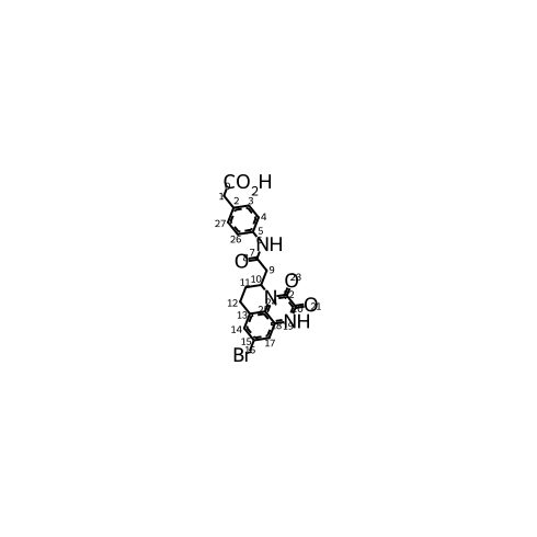 O=C(O)Cc1ccc(NC(=O)CC2CCc3cc(Br)cc4[nH]c(=O)c(=O)n2c34)cc1